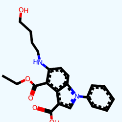 CCOC(=O)c1c(NCCCCO)ccc2c1c(C(=O)O)cn2-c1ccccc1